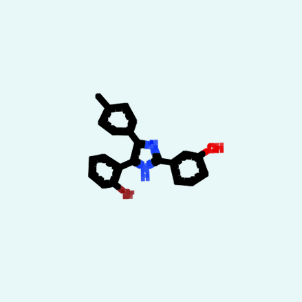 Cc1ccc(-c2nc(-c3cccc(O)c3)[nH]c2-c2ccccc2Br)cc1